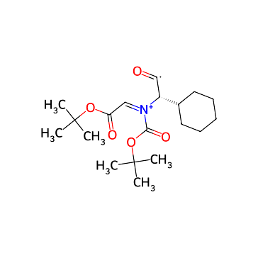 CC(C)(C)OC(=O)C=[N+](C(=O)OC(C)(C)C)[C@H]([C]=O)C1CCCCC1